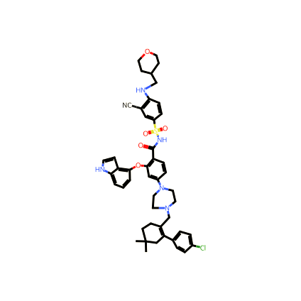 CC1(C)CCC(CN2CCN(c3ccc(C(=O)NS(=O)(=O)c4ccc(NCC5CCOCC5)c(C#N)c4)c(Oc4cccc5[nH]ccc45)c3)CC2)=C(c2ccc(Cl)cc2)C1